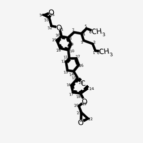 CCCCC(CC)Cc1cc(C2=CCC(c3ccc(OCC4CO4)cc3)C=C2)ccc1OCC1CO1